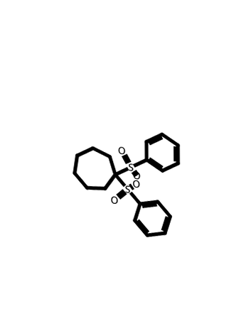 O=S(=O)(c1ccccc1)C1(S(=O)(=O)c2ccccc2)CCCCCC1